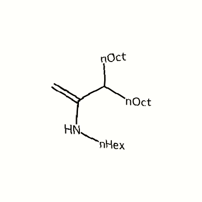 C=C(NCCCCCC)C(CCCCCCCC)CCCCCCCC